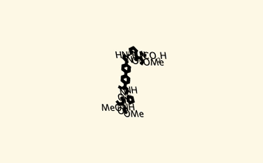 COC(=O)N[C@H](C(=O)N1CCC[C@H]1c1nc(C)c(-c2ccc(-c3ccc(-c4c[nH]c([C@@H]5CCCN5C(=O)[C@H]([C@@H](C)OC)N(C)C(=O)O)n4)cc3)cc2)[nH]1)[C@@H](C)OC